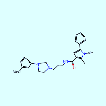 CCCn1c(-c2ccccc2)cc(C(=O)NCCCN2CCN(c3cccc(OC)c3)CC2)c1C